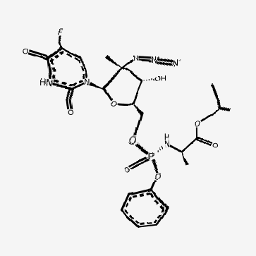 CC(C)OC(=O)[C@@H](C)N[P@](=O)(OC[C@H]1O[C@@H](n2cc(F)c(=O)[nH]c2=O)[C@](C)(N=[N+]=[N-])[C@@H]1O)Oc1ccccc1